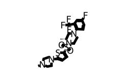 C[C@@H]1CN(c2ccc(F)cc2C(F)(F)F)CCN1S(=O)(=O)c1ccc(N2CCN(C)CC2)s1